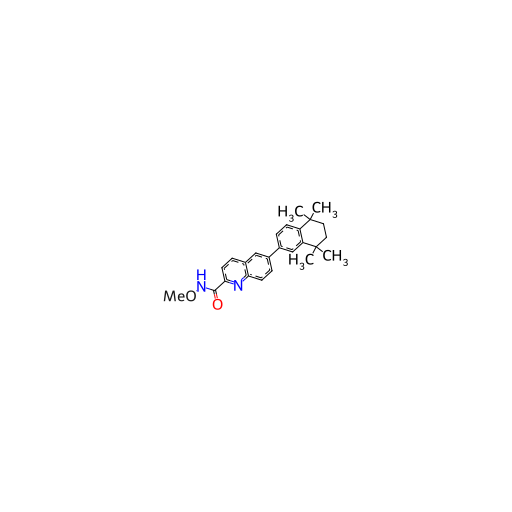 CONC(=O)c1ccc2cc(-c3ccc4c(c3)C(C)(C)CCC4(C)C)ccc2n1